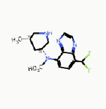 C[C@@H]1CNC[C@H](N(C(=O)O)c2ccc(C(F)F)c3nccnc23)C1